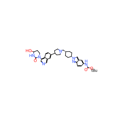 CC(C)(C)OC(=O)Nc1ccc2nn([C@H]3CC[C@H](CN4CCC(c5ccc6c(N7CCC(O)NC7=O)cncc6c5)CC4)CC3)cc2c1